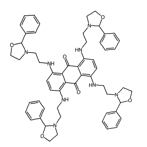 O=C1c2c(NCCN3CCOC3c3ccccc3)ccc(NCCN3CCOC3c3ccccc3)c2C(=O)c2c(NCCN3CCOC3c3ccccc3)ccc(NCCN3CCOC3c3ccccc3)c21